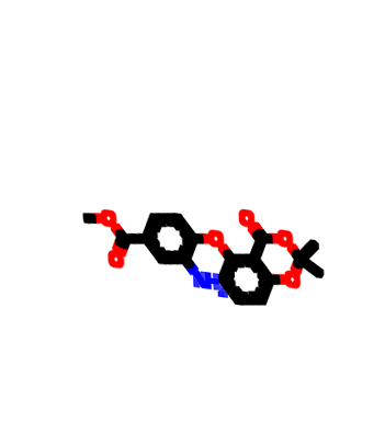 COC(=O)c1ccc(Oc2cccc3c2C(=O)OC(C)(C)O3)c(N)c1